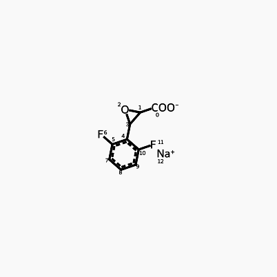 O=C([O-])C1OC1c1c(F)cccc1F.[Na+]